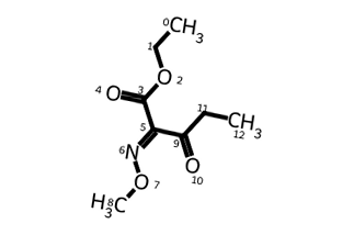 CCOC(=O)/C(=N/OC)C(=O)CC